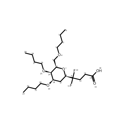 CCCCOC[C@H]1O[C@@H](C(F)(F)CCC(=O)O)C[C@@H](OCCCC)[C@H]1OCCCC